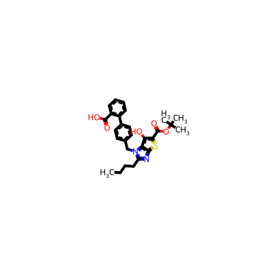 CCCCc1nc2sc(C(=O)OC(C)(C)C)c(O)c2n1Cc1ccc(-c2ccccc2C(=O)O)cc1